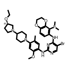 CCO[C@@H]1CCN(C2CCN(c3cc(OC)c(Nc4ncc(Br)c(Nc5ccc6c(c5P(C)C)OCCO6)n4)cc3C)CC2)C1